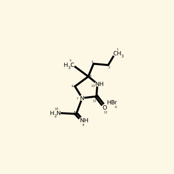 Br.CCCC1(C)CN(C(=N)N)C(=O)N1